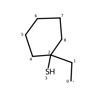 [CH2]CC1(S)CCCCC1